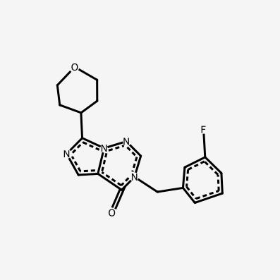 O=c1c2cnc(C3CCOCC3)n2ncn1Cc1cccc(F)c1